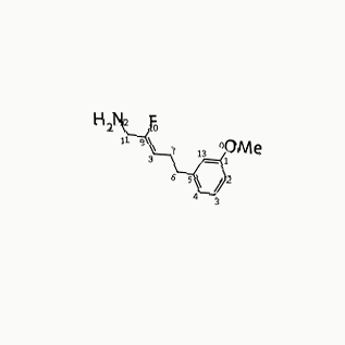 COc1cccc(CC/C=C(\F)CN)c1